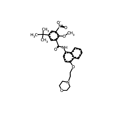 COc1c(C(=O)Nc2ccc(OCCN3CCOCC3)c3ccccc23)cc(C(C)(C)C)cc1[N+](=O)[O-]